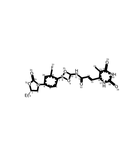 CC[C@H]1CN(c2ccc(B3OC(NC(=O)/C=C/c4[nH]c(=O)[nH]c(=O)c4C)O3)c(F)c2)C(=O)O1